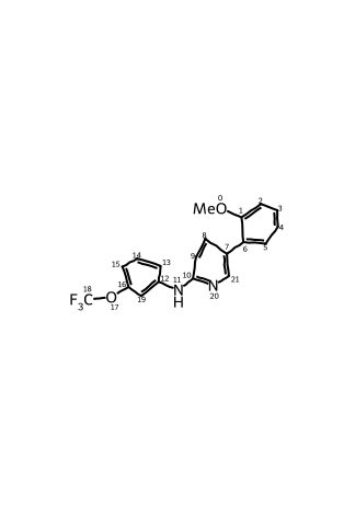 COc1ccccc1-c1ccc(Nc2cccc(OC(F)(F)F)c2)nc1